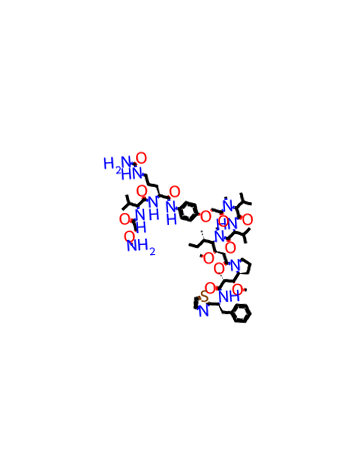 CC[C@H](C)[C@@H]([C@@H](CC(=O)N1CCC[C@H]1[C@H](OC)[C@@H](C)C(=O)N[C@@H](Cc1ccccc1)c1nccs1)OC)N(C)C(=O)[C@@H](NC(=O)C(C(C)C)N(C)C(=O)COc1ccc(NC(=O)[C@H](CCCNC(N)=O)NC(=O)C(NC(=O)CON)C(C)C)cc1)C(C)C